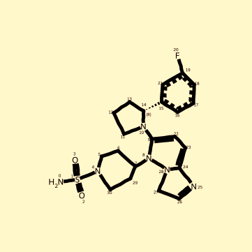 NS(=O)(=O)N1CCC(N2C(N3CCC[C@@H]3c3cccc(F)c3)=CC=C3N=CCN32)CC1